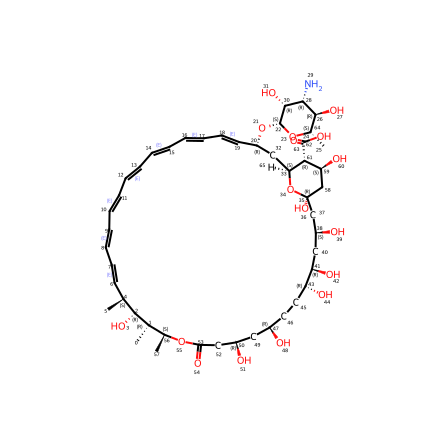 C[C@@H]1[C@H](O)[C@@H](C)/C=C/C=C/C=C/C=C/C=C/C=C/C=C/[C@H](O[C@H]2O[C@@H](C)[C@H](O)[C@@H](N)[C@H]2O)C[C@@H]2O[C@](O)(C[C@@H](O)C[C@@H](O)[C@H](O)CC[C@@H](O)C[C@@H](O)CC(=O)O[C@H]1C)C[C@H](O)[C@H]2C(=O)O